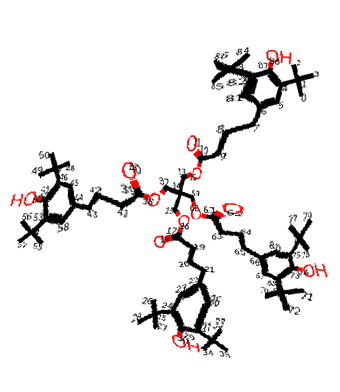 CC(C)(C)c1cc(CCCC(=O)OCC(COC(=O)CCCc2cc(C(C)(C)C)c(O)c(C(C)(C)C)c2)(COC(=O)CCCc2cc(C(C)(C)C)c(O)c(C(C)(C)C)c2)COC(=O)CCCc2cc(C(C)(C)C)c(O)c(C(C)(C)C)c2)cc(C(C)(C)C)c1O